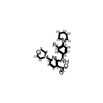 O=[N+]([O-])c1ccc(N2CCOCC2)nc1Nc1ccc(N2CCCCC2)c(F)c1